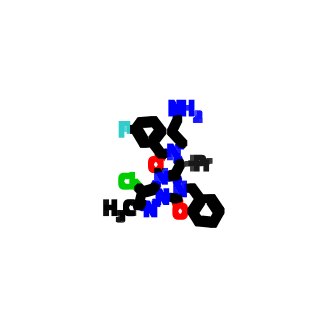 Cc1nn2c(=O)n(Cc3ccccc3)c([C@@H](C(C)C)N(CCCN)C(=O)c3cccc(F)c3)nc2c1Cl